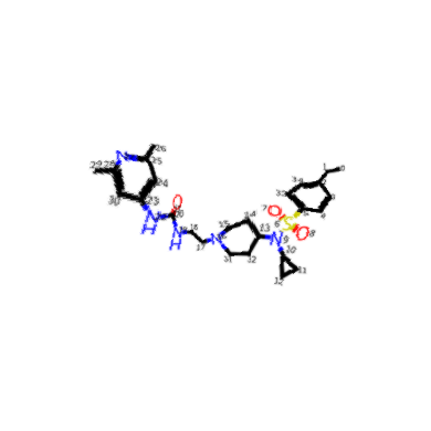 CCc1ccc(S(=O)(=O)N(C2CC2)C2CCN(CCNC(=O)Nc3cc(C)nc(C)c3)CC2)cc1